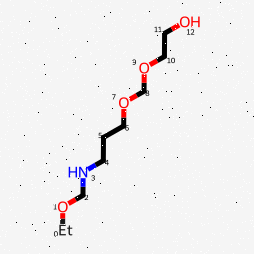 CCOCNCCCOCOCCO